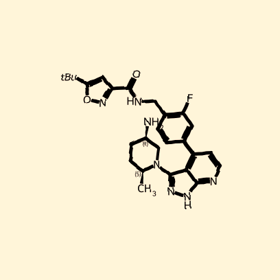 C[C@H]1CC[C@@H](N)CN1c1n[nH]c2nccc(-c3ccc(CNC(=O)c4cc(C(C)(C)C)on4)c(F)c3)c12